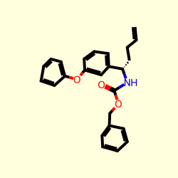 C=CCC[C@H](NC(=O)OCc1ccccc1)c1cccc(Oc2ccccc2)c1